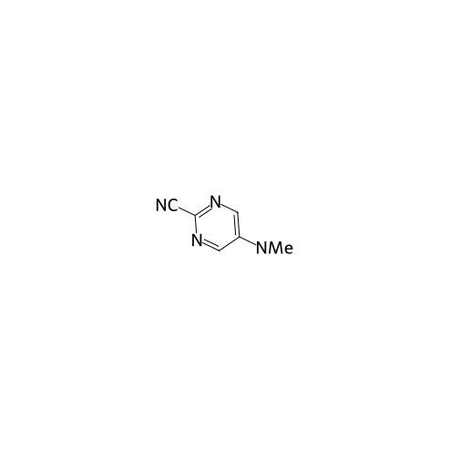 CNc1cnc(C#N)nc1